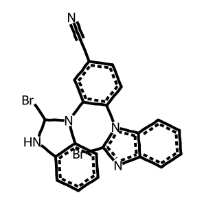 N#Cc1ccc(-n2c(Br)nc3ccccc32)c(N2c3ccccc3NC2Br)c1